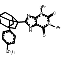 CCCn1c(=O)c2[nH]c(C34CC5CC(CC3C5)C4c3ccc(S(=O)(=O)O)cc3)nc2n(CCC)c1=O